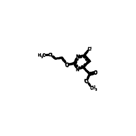 COCCOc1nc(Cl)cc(C(=O)OC)n1